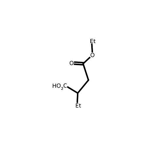 CCOC(=O)CC(CC)C(=O)O